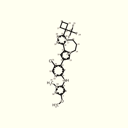 COc1cc(Nc2cc(-c3cc4n(c3)CCCn3c-4nnc3C3(C(F)(F)F)CCC3)c(Cl)cn2)n(C)n1